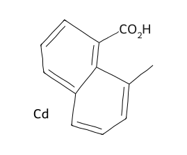 Cc1cccc2cccc(C(=O)O)c12.[Cd]